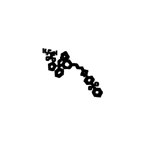 CNC(=O)O[C@@H]1CCC[C@H]1C(Cn1cccc1)(c1ccccc1)C1CCC(CCCC2CN(c3ccc(S(=O)(=O)c4ccccc4)cc3)C2)CC1